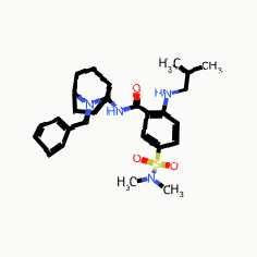 CC(C)CNc1ccc(S(=O)(=O)N(C)C)cc1C(=O)NC12CCCC(CC1)N2Cc1ccccc1